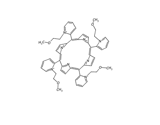 COCC[n+]1ccccc1C1=C2C=CC(=N2)C(c2cccc[n+]2CCOC)=C2C=CC(=N2)C(c2cccc[n+]2CCOC)=C2C=CC(=N2)C(c2cccc[n+]2CCOC)=C2C=CC1=N2